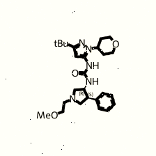 COCCN1C[C@H](NC(=O)Nc2cc(C(C)(C)C)nn2C2CCOCC2)[C@@H](c2ccccc2)C1